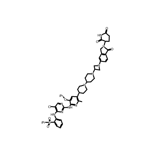 Cc1nc(Nc2ncc(Cl)c(Nc3ccccc3S(=O)(=O)C(C)C)n2)c(OC(C)C)cc1C1CCN(C2CCN(C3CN(c4ccc5c(c4)CN(C4CCC(=O)NC4=O)C5=O)C3)CC2)CC1